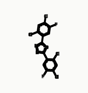 Fc1cc(-c2nnc(-c3cc(F)c(Cl)cc3Cl)o2)c(Cl)cc1Cl